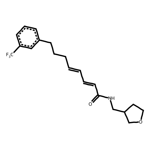 O=C(/C=C/C=C/CCCc1cccc(C(F)(F)F)c1)NCC1CCOC1